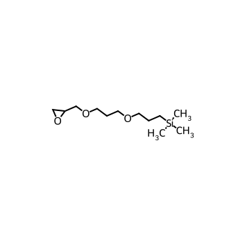 C[Si](C)(C)CCCOCCCOCC1CO1